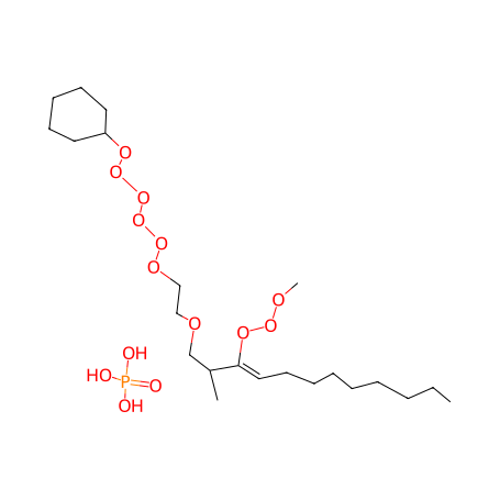 CCCCCCCCC=C(OOOC)C(C)COCCOOOOOOC1CCCCC1.O=P(O)(O)O